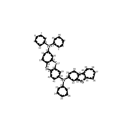 c1ccc(N(c2ccccc2)c2ccc3c(c2)Sc2cc(N(c4ccccc4)c4ccc5c(c4)sc4ccccc45)ccc2S3)cc1